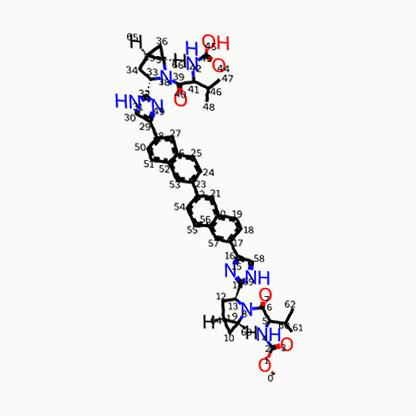 COC(=O)NC(C(=O)N1[C@@H]2C[C@@H]2C[C@H]1c1nc(-c2ccc3cc(-c4ccc5cc(-c6c[nH]c([C@@H]7C[C@H]8C[C@H]8N7C(=O)C(NC(=O)O)C(C)C)n6)ccc5c4)ccc3c2)c[nH]1)C(C)C